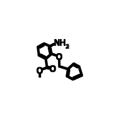 COC(=O)c1cccc(N)c1OCc1ccccc1